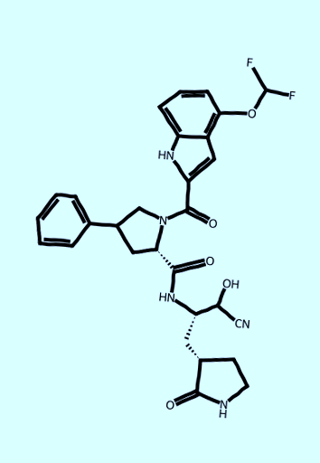 N#CC(O)[C@H](C[C@@H]1CCNC1=O)NC(=O)[C@@H]1CC(c2ccccc2)CN1C(=O)c1cc2c(OC(F)F)cccc2[nH]1